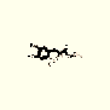 COC(=O)[C@@H](N)Cc1ccc(O)c(Br)c1.Cl